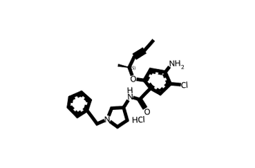 CC#C[C@H](C)Oc1cc(N)c(Cl)cc1C(=O)NC1CCN(Cc2ccccc2)C1.Cl